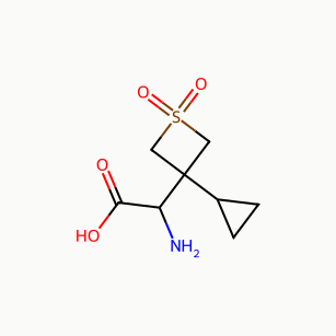 NC(C(=O)O)C1(C2CC2)CS(=O)(=O)C1